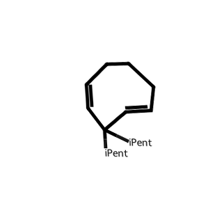 CCCC(C)C1(C(C)CCC)/C=C\CCC/C=C/1